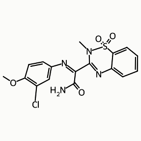 COc1ccc(/N=C(\C(N)=O)C2=Nc3ccccc3S(=O)(=O)N2C)cc1Cl